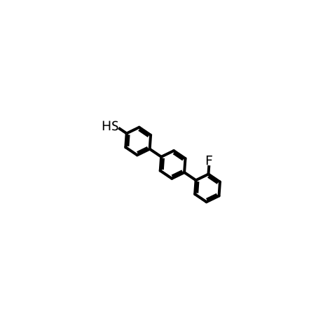 Fc1ccccc1-c1ccc(-c2ccc(S)cc2)cc1